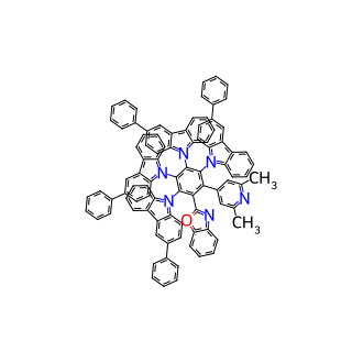 Cc1cc(-c2c(-c3nc4ccccc4o3)c(-n3c4ccccc4c4cc(-c5ccccc5)ccc43)c(-n3c4ccccc4c4cc(-c5ccccc5)ccc43)c(-n3c4ccccc4c4cc(-c5ccccc5)ccc43)c2-n2c3ccccc3c3cc(-c4ccccc4)ccc32)cc(C)n1